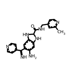 Cc1cc(CNC(=O)C2Nc3cc(N)c(C(=N)c4ccncc4)cc3N2)ccn1